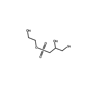 O=S(=O)(CC(O)CS)OCCO